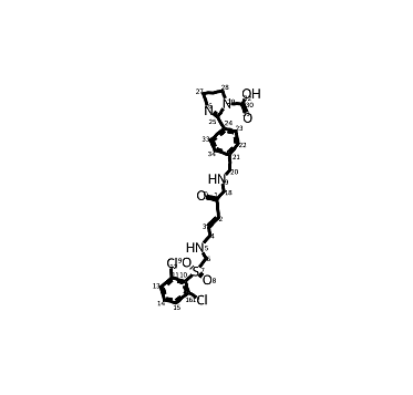 O=C(C=CCNCS(=O)(=O)c1c(Cl)cccc1Cl)CNCc1ccc(C2=NCCN2C(=O)O)cc1